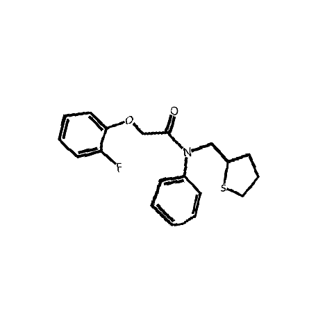 O=C(COc1ccccc1F)N(CC1CCCS1)c1ccccc1